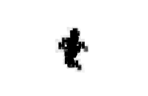 Cc1cn(-c2ccc3n(c2=O)CC(C)N(C(C)c2c[nH]c4cc(C(F)(F)F)ccc24)C3=O)cn1